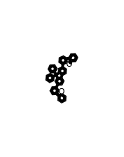 c1ccc(C2(c3ccccc3)c3cc(-c4cccc5c4oc4ccccc45)ccc3-c3ccc(-c4cccc5c4oc4ccccc45)cc32)cc1